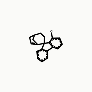 Clc1cccc2c1C1(CCC3CC=C1C3)c1ccccc1-2